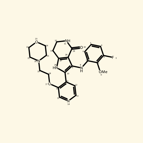 COc1c(F)cccc1Nc1c(-c2ccncc2OCCN2CCOCC2)[nH]c2c1C(=O)NCC2